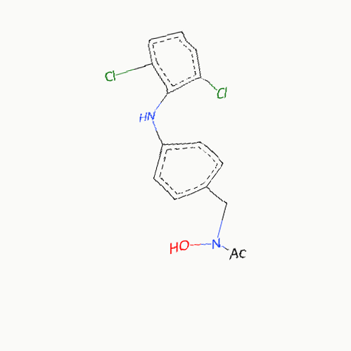 CC(=O)N(O)Cc1ccc(Nc2c(Cl)cccc2Cl)cc1